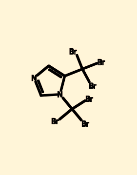 BrC(Br)(Br)c1cncn1C(Br)(Br)Br